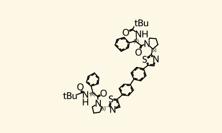 CC(C)(C)C(=O)N[C@@H](C(=O)N1CCC[C@H]1c1ncc(-c2ccc(-c3ccc(-c4cnc([C@@H]5CCCN5C(=O)[C@H](NC(=O)C(C)(C)C)c5ccccc5)s4)cc3)cc2)s1)c1ccccc1